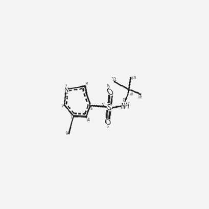 Cc1cncc(S(=O)(=O)NC(C)(C)C)c1